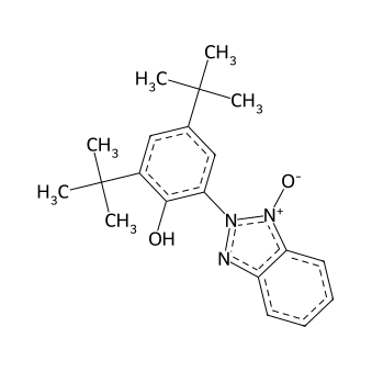 CC(C)(C)c1cc(-n2nc3ccccc3[n+]2[O-])c(O)c(C(C)(C)C)c1